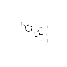 NC(=O)c1c(-c2ccc(N)cc2)cn(C(=O)O)c1N